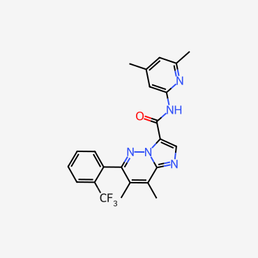 Cc1cc(C)nc(NC(=O)c2cnc3c(C)c(C)c(-c4ccccc4C(F)(F)F)nn23)c1